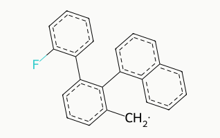 [CH2]c1cccc(-c2ccccc2F)c1-c1cccc2ccccc12